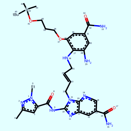 CCn1nc(C)cc1C(=O)Nc1nc2cc(C(N)=O)cnc2n1CC=CCNc1c(N)cc(C(N)=O)cc1OCCCO[Si](C)(C)C(C)(C)C